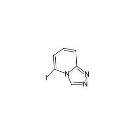 Ic1cccc2nncn12